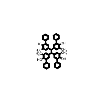 Cc1cc(C(c2cc(C)c(O)c(-c3ccccc3)c2)C(c2cc(C)c(O)c(-c3ccccc3)c2)c2cc(C)c(O)c(-c3ccccc3)c2)cc(-c2ccccc2)c1O